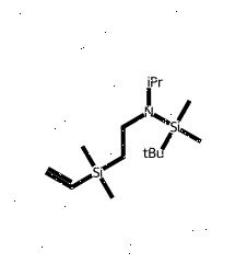 C=C[Si](C)(C)CCN(C(C)C)[Si](C)(C)C(C)(C)C